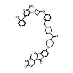 Nc1nnc(-c2ccccc2O)cc1N1CC(Oc2cccc(CN3CCN(C(=O)C4CCN(c5ccc6c(c5)C(=O)N(C5CCC(=O)NC5=O)C6=O)CC4)CC3)c2)C1